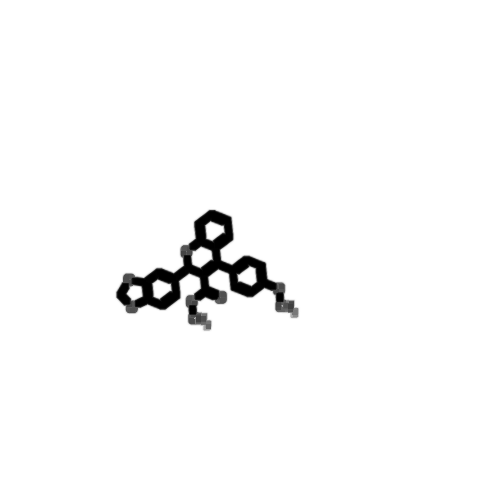 COC(=O)C1=C(c2ccc(OC)cc2)c2ccccc2OC1c1ccc2c(c1)OCO2